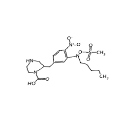 CCCCCN(OS(C)(=O)=O)c1cc(CC2CNCCN2C(=O)O)ccc1[N+](=O)[O-]